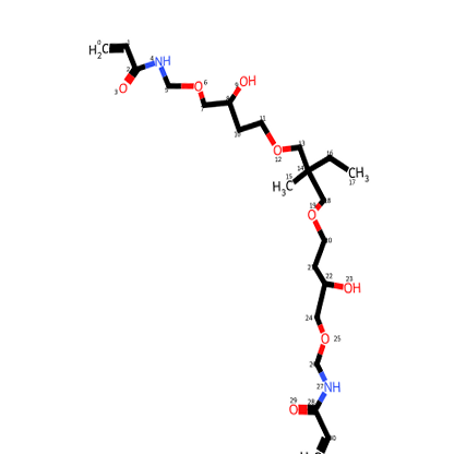 C=CC(=O)NCOCC(O)CCOCC(C)(CC)COCCC(O)COCNC(=O)C=C